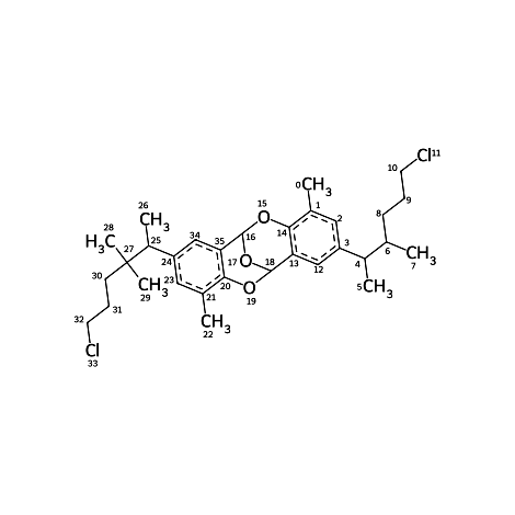 Cc1cc(C(C)C(C)CCCCl)cc2c1OC1OC2Oc2c(C)cc(C(C)C(C)(C)CCCCl)cc21